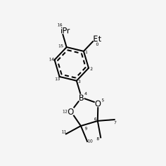 CCc1cc(B2OC(C)(C)C(C)(C)O2)ccc1C(C)C